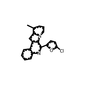 Cc1cccn2c1cc1c3ccccc3nc(-c3ccc(Cl)o3)c12